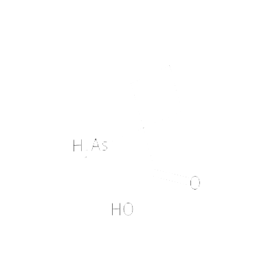 O=C(O)C1([AsH2])CCC1